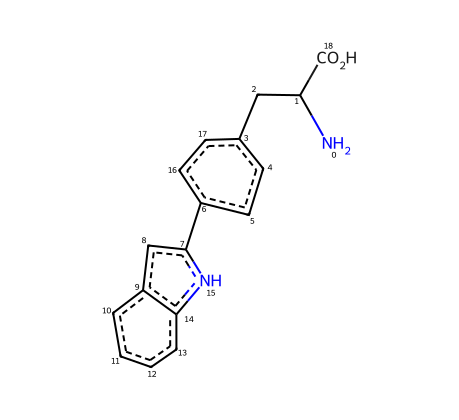 NC(Cc1ccc(-c2cc3ccccc3[nH]2)cc1)C(=O)O